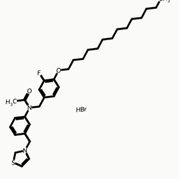 Br.CCCCCCCCCCCCCCOc1ccc(CN(C(C)=O)c2cccc(CN3C=CSC3)c2)cc1F